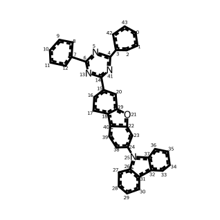 c1ccc(-c2nc(-c3ccccc3)nc(-c3ccc4c(c3)oc3cc(-n5c6ccccc6c6ccccc65)ccc34)n2)cc1